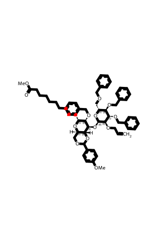 C=CCO[C@H]1[C@@H](O[C@@H]2[C@@H](OCc3ccccc3)[C@@H](OCCCCCCCCC(=O)OC)O[C@@H]3COC(c4ccc(OC)cc4)O[C@@H]23)O[C@H](COCc2ccccc2)[C@@H](OCc2ccccc2)[C@@H]1OCc1ccccc1